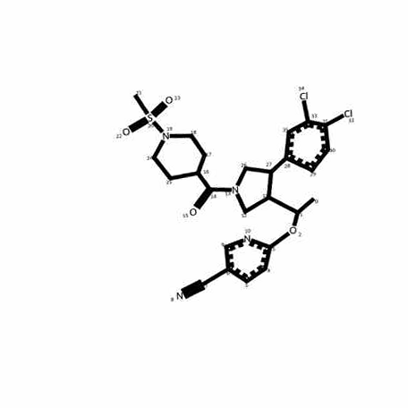 CC(Oc1ccc(C#N)cn1)C1CN(C(=O)C2CCN(S(C)(=O)=O)CC2)CC1c1ccc(Cl)c(Cl)c1